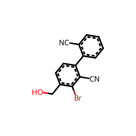 N#Cc1ccccc1-c1ccc(CO)c(Br)c1C#N